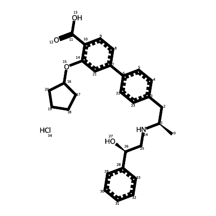 C[C@H](Cc1ccc(-c2ccc(C(=O)O)c(OC3CCCC3)c2)cc1)NC[C@H](O)c1ccccc1.Cl